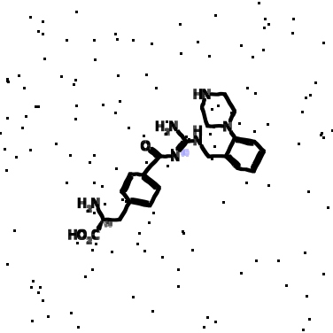 N/C(=N\C(=O)c1ccc(C[C@H](N)C(=O)O)cc1)NCc1ccccc1N1CCNCC1